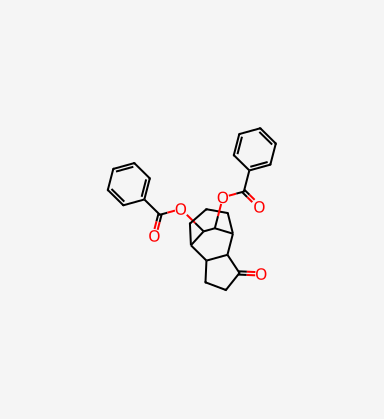 O=C(OC1C2CCCC(C1OC(=O)c1ccccc1)C1C(=O)CCC21)c1ccccc1